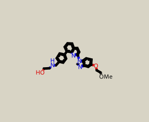 COCCOc1ccc2c(c1)ncn2-c1ccc2cccc(-c3ccc(CNCCO)cc3)c2n1